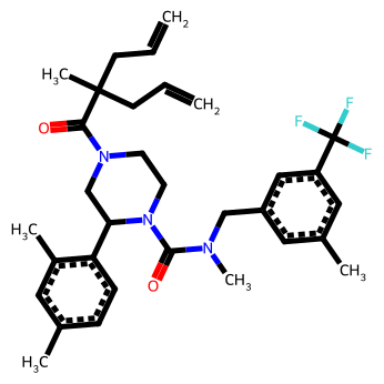 C=CCC(C)(CC=C)C(=O)N1CCN(C(=O)N(C)Cc2cc(C)cc(C(F)(F)F)c2)C(c2ccc(C)cc2C)C1